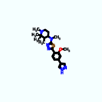 COc1cc(-c2cn[nH]c2)ccc1-c1nnc(N(C)C2CCN(C)C(C)(C)C2C)s1